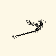 CCCCCCCCCCCCCCCCCCOc1ccc(S(=O)(=O)c2cnc3ccc([S+](C)[O-])cc3c2N2CCC(N3CCN(C4CCN(CC)CC4)CC3)CC2)cc1F